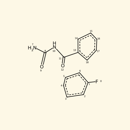 Fc1ccccc1.NC(=O)NC(=O)c1ccccc1